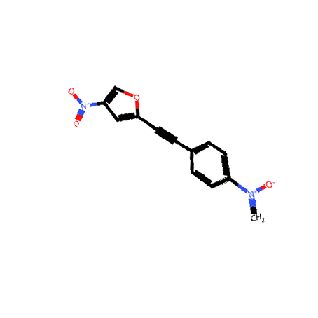 C=[N+]([O-])c1ccc(C#Cc2cc([N+](=O)[O-])co2)cc1